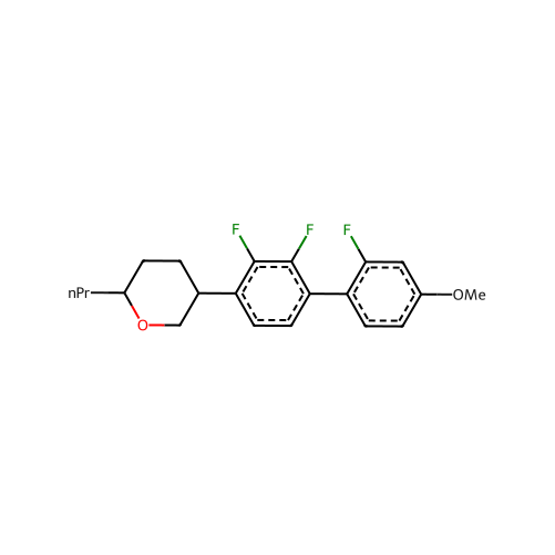 CCCC1CCC(c2ccc(-c3ccc(OC)cc3F)c(F)c2F)CO1